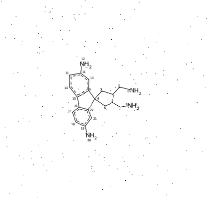 NCCCC1(CCCN)c2cc(N)ccc2-c2ccc(N)cc21